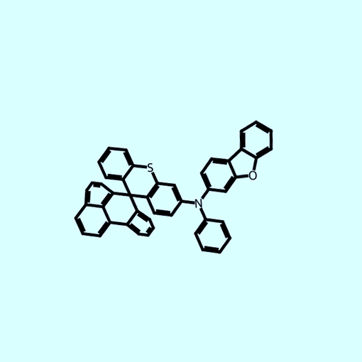 c1ccc(N(c2ccc3c(c2)Sc2ccccc2C32c3ccccc3-c3cccc4cccc2c34)c2ccc3c(c2)oc2ccccc23)cc1